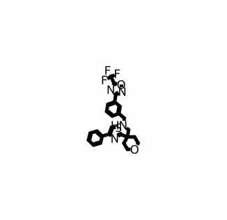 FC(F)(F)c1nc(-c2cccc(CNCC3(c4nc(-c5ccccc5)cs4)CCOCC3)c2)no1